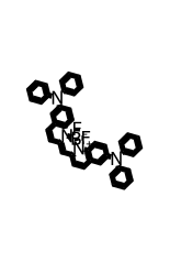 F[B-]1(F)N2C(=Cc3ccc4cc(N(c5ccccc5)c5ccccc5)ccc4[n+]31)C=Cc1cc(N(c3ccccc3)c3ccccc3)ccc12